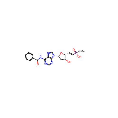 COP(=O)(O)/C=C/[C@H]1O[C@@H](n2cnc3c(NC(=O)c4ccccc4)ncnc32)C[C@@H]1O